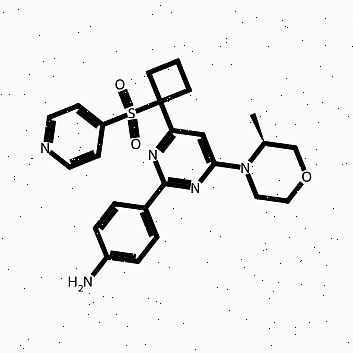 C[C@H]1COCCN1c1cc(C2(S(=O)(=O)c3ccncc3)CCC2)nc(-c2ccc(N)cc2)n1